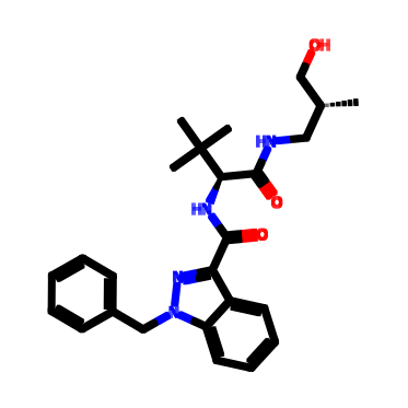 C[C@@H](CO)CNC(=O)[C@@H](NC(=O)c1nn(Cc2ccccc2)c2ccccc12)C(C)(C)C